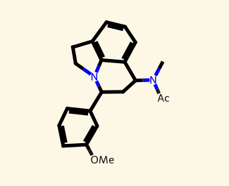 COc1cccc(C2CC(N(C)C(C)=O)c3cccc4c3N2CC4)c1